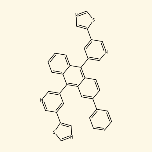 c1ccc(-c2ccc3c(-c4cncc(-c5cncs5)c4)c4ccccc4c(-c4cncc(-c5cncs5)c4)c3c2)cc1